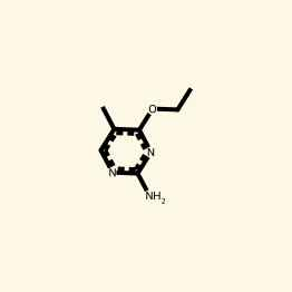 CCOc1nc(N)ncc1C